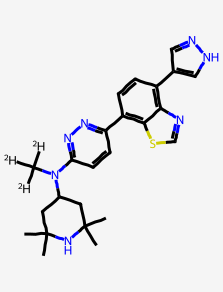 [2H]C([2H])([2H])N(c1ccc(-c2ccc(-c3cn[nH]c3)c3ncsc23)nn1)C1CC(C)(C)NC(C)(C)C1